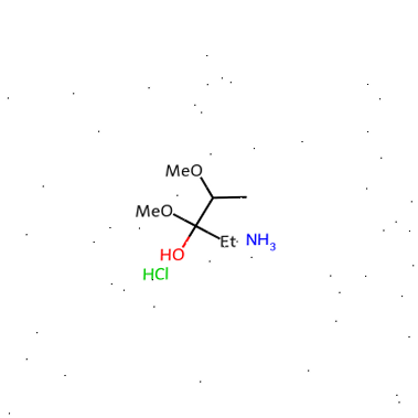 CCC(O)(OC)C(C)OC.Cl.N